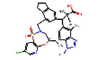 CC[C@@H]1CN(Cc2cc(C(c3ccc4c(nnn4C)c3C)C(C)(C)C(=O)O)cc3c2CCC3)S(=O)(=O)c2cc(Cl)cnc2O1